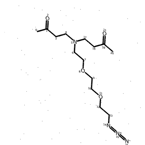 CC(=O)CCN(CCOCCOCCN=[N+]=[N-])CCC(C)=O